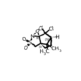 CC1(C)[C@@H]2CC[C@]13CS(=O)(=O)N1O[C@]13C2(Cl)Cl